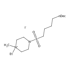 CCCCCCCCCCCCCCS(=O)(=O)N1CC[N+](C)(CC)CC1.[I-]